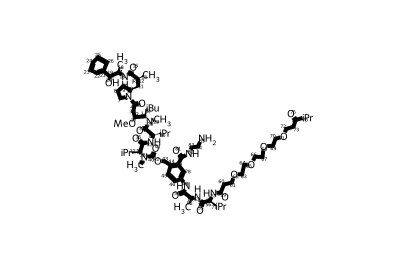 CC[C@H](C)[C@@H]([C@@H](CC(=O)N1CCC[C@H]1C[C@@H](C)C(=O)N[C@H](C)[C@@H](O)c1ccccc1)OC)N(C)C(=O)[C@@H](NC(=O)[C@H](C(C)C)N(C)C(=O)OCc1ccc(NC(=O)[C@H](C)NC(=O)[C@@H](NC(=O)CCOCCOCCOCCOCCC(=O)C(C)C)C(C)C)cc1C(=O)NCCN)C(C)C